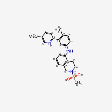 COc1ccc(-c2cc(Nc3cccc4c3CCN(S(C)(=O)=O)C4)ccc2C)nc1